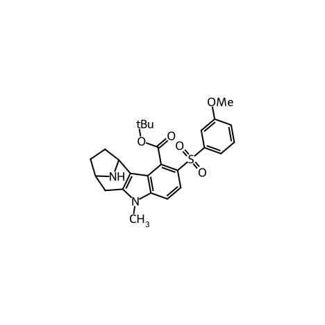 COc1cccc(S(=O)(=O)c2ccc3c(c2C(=O)OC(C)(C)C)c2c(n3C)CC3CCC2N3)c1